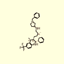 C[C@H](CC[C@@H]1[C@H](C)c2cc(C(F)(F)F)ccc2N[C@H]1C1C=CC=CC1)CN[C@H]1CCN(Cc2ccccc2)C1